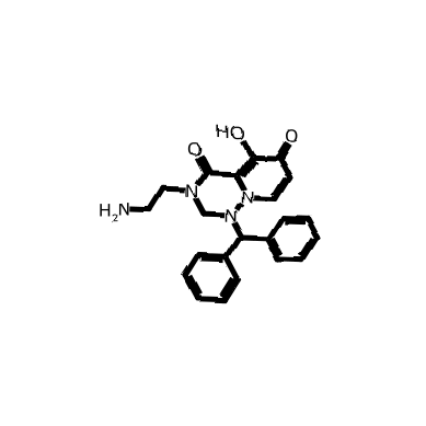 NCCN1CN(C(c2ccccc2)c2ccccc2)n2ccc(=O)c(O)c2C1=O